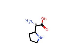 N[C@H](C(=O)O)C1CCCN1